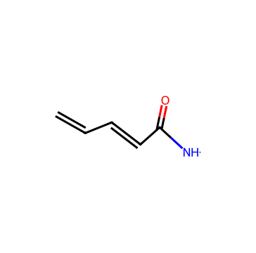 C=C/C=C/C([NH])=O